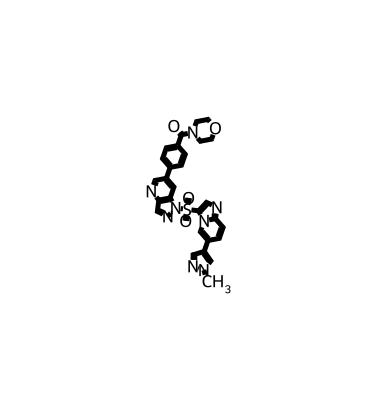 Cn1cc(-c2ccc3ncc(S(=O)(=O)n4ncc5ncc(-c6ccc(C(=O)N7CCOCC7)cc6)cc54)n3c2)cn1